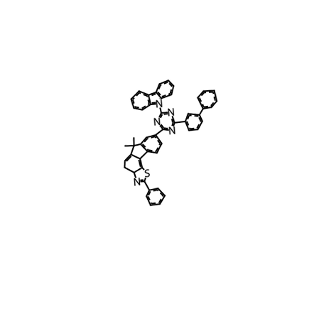 CC1(C)C2=CCC3N=C(c4ccccc4)SC3=C2c2ccc(-c3nc(-c4cccc(-c5ccccc5)c4)nc(-n4c5ccccc5c5ccccc54)n3)cc21